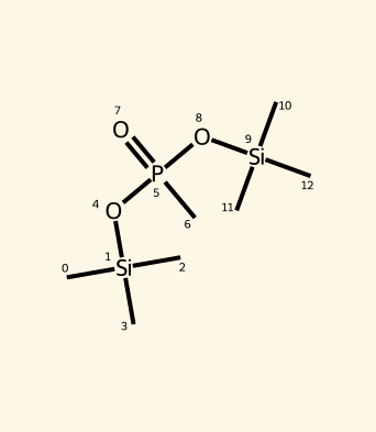 C[Si](C)(C)OP(C)(=O)O[Si](C)(C)C